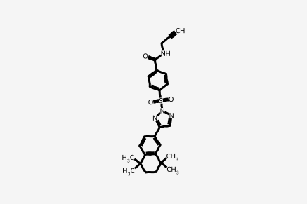 C#CCNC(=O)c1ccc(S(=O)(=O)n2ncc(-c3ccc4c(c3)C(C)(C)CCC4(C)C)n2)cc1